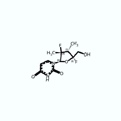 C[C@H]1[C@@](C)(F)[C@H](n2ccc(=O)[nH]c2=O)O[C@]1(F)CO